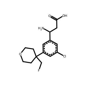 NC(CC(=O)O)c1cc(Cl)cc(C2(CF)CCOCC2)c1